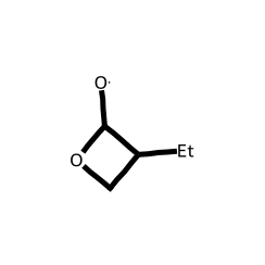 CCC1COC1[O]